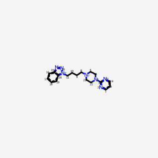 c1cnc(N2CCN(CCCCn3nnc4ccccc43)CC2)nc1